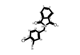 O=C1c2ccccc2C(=O)N1Cc1ccc(Cl)c(F)c1